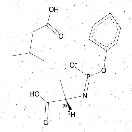 CC(C)CC(=O)O.[2H][C@@](C)(N=[P+]([O-])Oc1ccccc1)C(=O)O